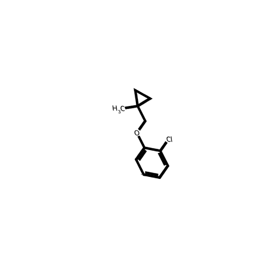 CC1(COc2c[c]ccc2Cl)CC1